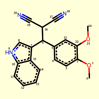 COc1ccc(C(c2c[nH]c3ccccc23)C(C#N)C#N)cc1OC